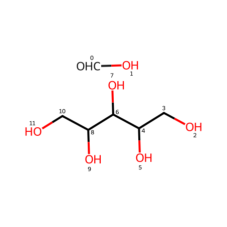 O=CO.OCC(O)C(O)C(O)CO